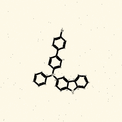 Brc1ccc(-c2ccc(N(c3ccccc3)c3ccc4oc5ccccc5c4c3)cc2)cc1